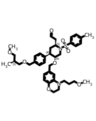 COCCCN1CCOc2ccc(CO[C@H]3CN(S(=O)(=O)c4ccc(C)cc4)[C@H](CC=O)C[C@@H]3c3ccc(COC[C@@H](C)COC)cc3)cc21